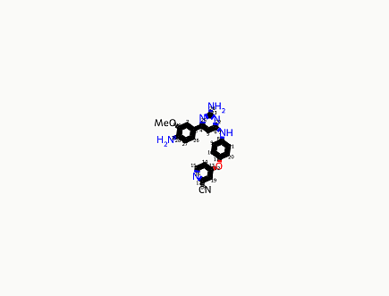 COc1cc(-c2cc(Nc3ccc(Oc4ccnc(C#N)c4)cc3)nc(N)n2)ccc1N